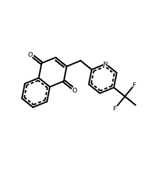 CC(F)(F)c1ccc(CC2=CC(=O)c3ccccc3C2=O)nc1